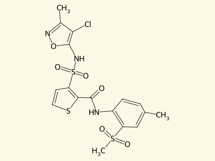 Cc1ccc(NC(=O)c2sccc2S(=O)(=O)Nc2onc(C)c2Cl)c(S(C)(=O)=O)c1